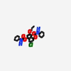 CCCOc1cc(OC(=O)NC2CCCCC2)c2cc(Cl)ccc2c1OC(=O)NC1CCCCC1